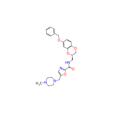 CN1CCN(Cc2cnc(C(=O)NC[C@@H]3COc4ccc(OCc5ccccc5)cc4O3)o2)CC1